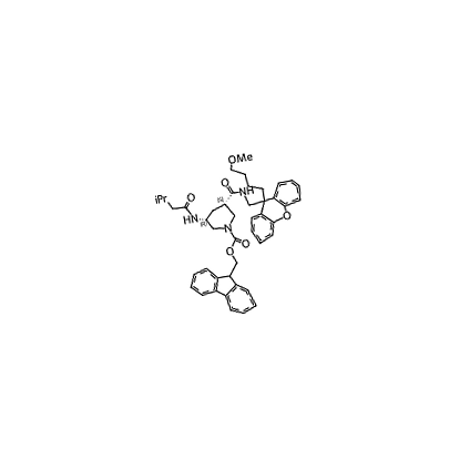 COCCCCC1(CNC(=O)[C@H]2C[C@@H](NC(=O)CC(C)C)CN(C(=O)OCC3c4ccccc4-c4ccccc43)C2)c2ccccc2Oc2ccccc21